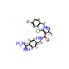 Cc1nn(Cc2ccc(F)cc2)c(Cl)c1C(=O)NCc1ccc(C(=N)N)cc1